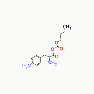 CCCCOC(=O)OC(=O)[C@@H](N)Cc1ccc(N)cc1